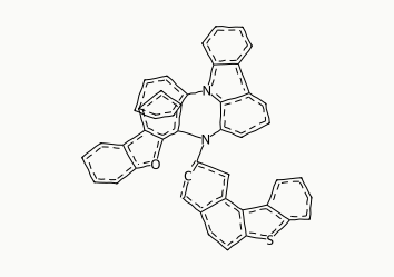 c1ccc(-n2c3ccccc3c3cccc(N(c4ccc5ccc6sc7ccccc7c6c5c4)c4cccc5c4oc4ccccc45)c32)cc1